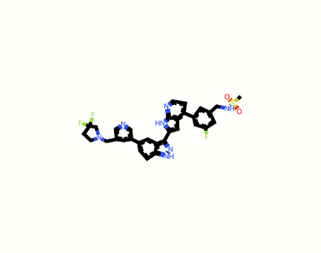 CS(=O)(=O)NCc1cc(F)cc(-c2ccnc3[nH]c(-c4n[nH]c5ccc(-c6cncc(CN7CCC(F)(F)C7)c6)cc45)cc23)c1